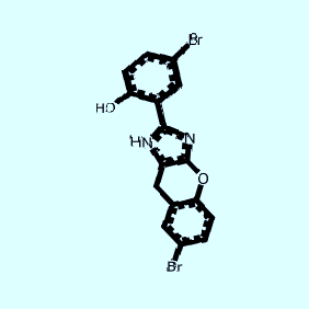 Oc1ccc(Br)cc1-c1nc2c([nH]1)Cc1cc(Br)ccc1O2